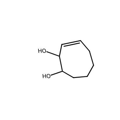 OC1/C=C\CCCCC1O